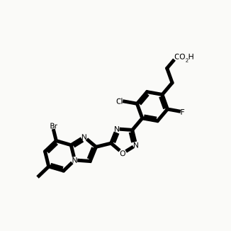 Cc1cc(Br)c2nc(-c3nc(-c4cc(F)c(CCC(=O)O)cc4Cl)no3)cn2c1